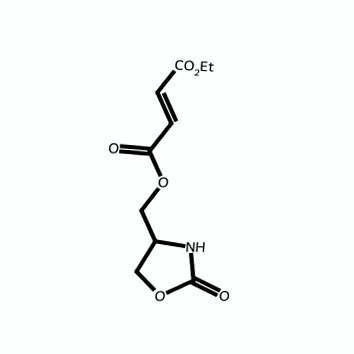 CCOC(=O)/C=C/C(=O)OCC1COC(=O)N1